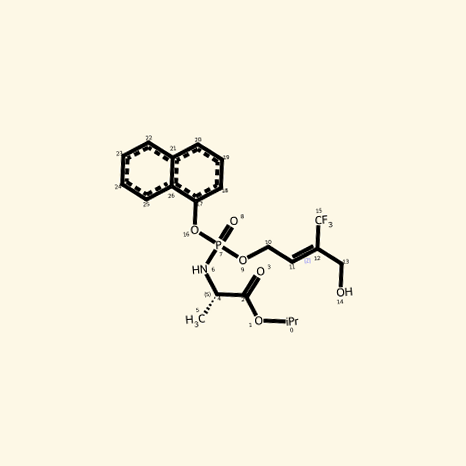 CC(C)OC(=O)[C@H](C)NP(=O)(OC/C=C(/CO)C(F)(F)F)Oc1cccc2ccccc12